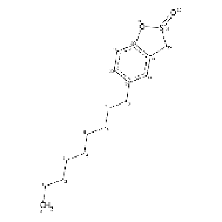 CCCCCCCCCc1ccc2c(c1)CS(=O)O2